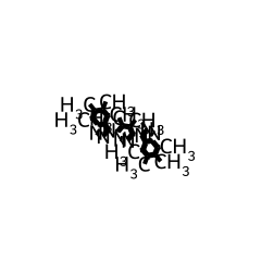 Cc1c(-n2nnc3c(C)c(C)c(C)c(C)c32)nnc(-n2nnc3c(C)c(C)c(C)c(C)c32)c1C